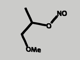 COCC(C)ON=O